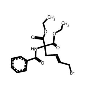 CCOC(=O)C(CC=CCBr)(NC(=O)c1ccccc1)C(=O)OCC